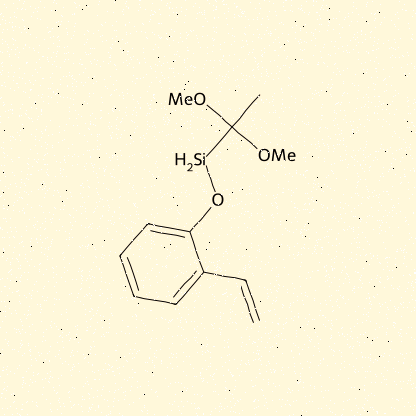 C=Cc1ccccc1O[SiH2]C(C)(OC)OC